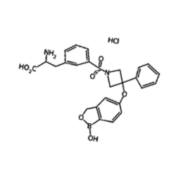 Cl.NC(Cc1cccc(S(=O)(=O)N2CC(Oc3ccc4c(c3)COB4O)(c3ccccc3)C2)c1)C(=O)O